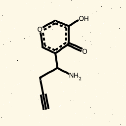 C#CCC(N)c1cocc(O)c1=O